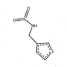 O=[SH](=O)NCc1ccsc1